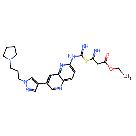 CCOC(=O)CC(=N)SC(=N)Nc1ccc2ncc(-c3cnn(CCCN4CCCC4)c3)cc2n1